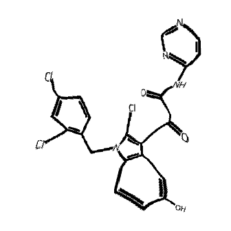 O=C(Nc1ccncn1)C(=O)c1c(Cl)n(Cc2ccc(Cl)cc2Cl)c2ccc(O)cc12